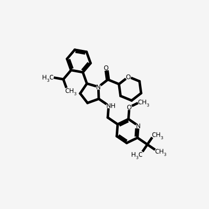 COc1nc(C(C)(C)C)ccc1CNC1CCC(c2ccccc2C(C)C)N1C(=O)C1CCCCO1